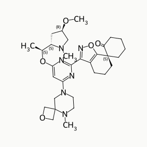 CO[C@@H]1C[C@@H]([C@H](C)Oc2cc(N3CCN(C)C4(COC4)C3)nc(-c3noc4c3CCC[C@@]43CCCCC3=O)n2)N(C)C1